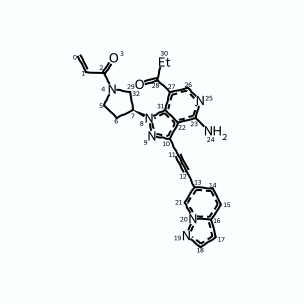 C=CC(=O)N1CC[C@H](n2nc(C#Cc3ccc4ccnn4c3)c3c(N)ncc(C(=O)CC)c32)C1